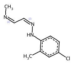 C/N=C\C=N/Nc1ccc(Cl)cc1C